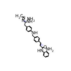 C=N/N=C(/Cc1ccc(NCc2ccc(/C=C/C(=O)Nc3ccccc3N)cc2)cc1)NN